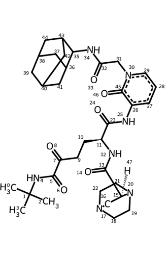 CC(C)(C)NC(=O)C(=O)CC[C@H](NC(=O)[C@@H]1CN2CCN1CC2)C(=O)Nc1cccn(CC(=O)NC2C3CC4CC(C3)CC2C4)c1=O